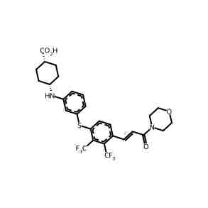 O=C(/C=C/c1ccc(Sc2cccc(N[C@H]3CC[C@@H](C(=O)O)CC3)c2)c(C(F)(F)F)c1C(F)(F)F)N1CCOCC1